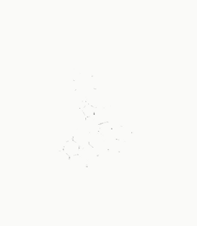 C[C@]1(C(=O)O)CC[C@H](n2ncc(C(=O)N(CC(=O)c3c(Cl)cccc3Cl)[C@@H]3CCC34CCCC4)c2C(F)(F)F)CC1